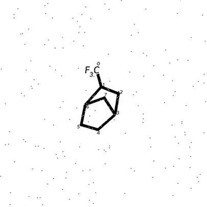 FC(F)(F)C1[CH]C2CCC1C2